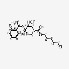 Cl.NC1=NC2(CCN(C(=O)OCCCCCCl)CC2)Nc2cccc(F)c21